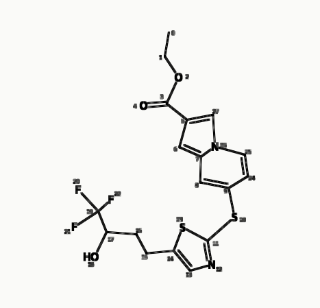 CCOC(=O)c1cc2cc(Sc3ncc(CCC(O)C(F)(F)F)s3)ccn2c1